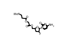 CNCCC(=O)OCC(=O)OCC1CC(F)[C@H](n2ccc(N)nc2=O)O1